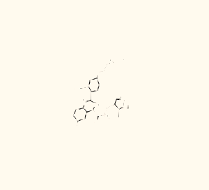 CCn1ncc(CN(C)C(=O)c2nc(-c3ccc(OCCNC(C)=O)cc3Cl)nc3ccc(O)cc23)c1C